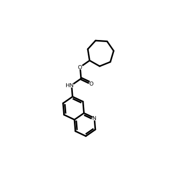 O=C(Nc1ccc2cccnc2c1)OC1CCCCCC1